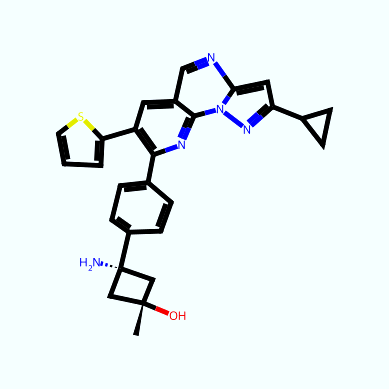 C[C@]1(O)C[C@](N)(c2ccc(-c3nc4c(cnc5cc(C6CC6)nn54)cc3-c3cccs3)cc2)C1